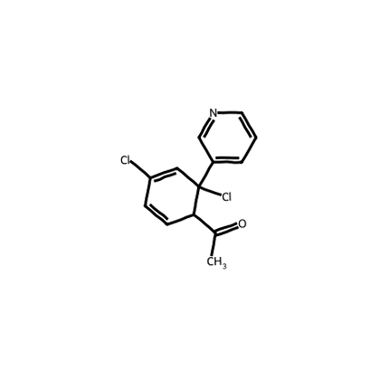 CC(=O)C1C=CC(Cl)=CC1(Cl)c1cccnc1